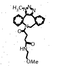 COCCNC(=O)CCC(=O)N1Cc2ccccc2-c2nnn(C)c2-c2ccccc21